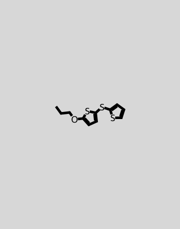 CCCOc1ccc(Sc2cccs2)s1